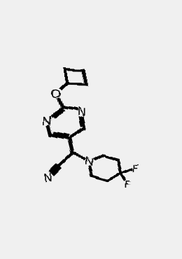 N#CC(c1cnc(OC2CCC2)nc1)N1CCC(F)(F)CC1